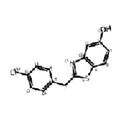 Oc1ccc2sc(Cc3ccc(Cl)cc3)nc2c1